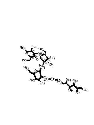 CCO.C[O].OCC(O)C(O)C(O)C(O)CO.OCC1OC(O)C(O)C(O)C1O.OC[C@H]1O[C@H](O[C@H]2[C@H](O)[C@@H](O)C(O)O[C@@H]2CO)[C@H](O)[C@@H](O)[C@@H]1O